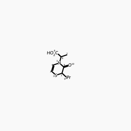 CC(C)C1SC=CN(C(C)C(=O)O)C1=O